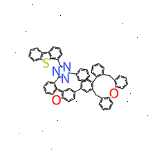 c1ccc(-c2nc(-c3cccc4c3sc3ccccc34)nc(-c3cccc4oc5ccc(-c6ccc7c(c6)Cc6ccccc6Oc6ccccc6Cc6ccccc6-7)cc5c34)n2)cc1